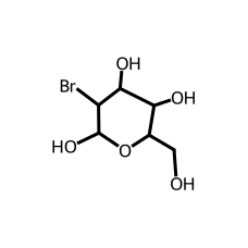 OCC1OC(O)C(Br)C(O)C1O